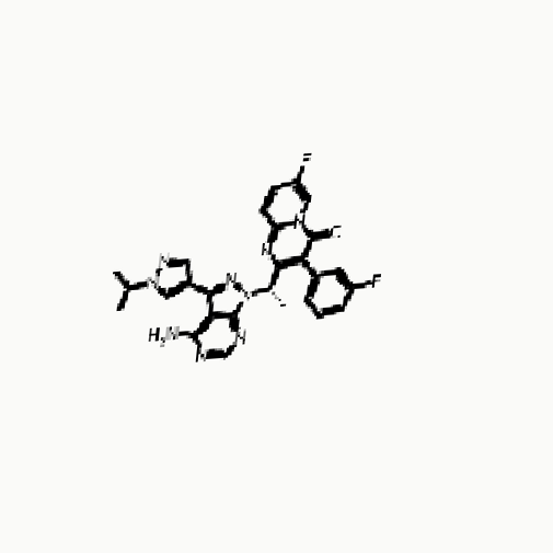 CC(C)n1cc(-c2nn([C@@H](C)c3nc4ccc(F)cn4c(=O)c3-c3cccc(F)c3)c3ncnc(N)c23)cn1